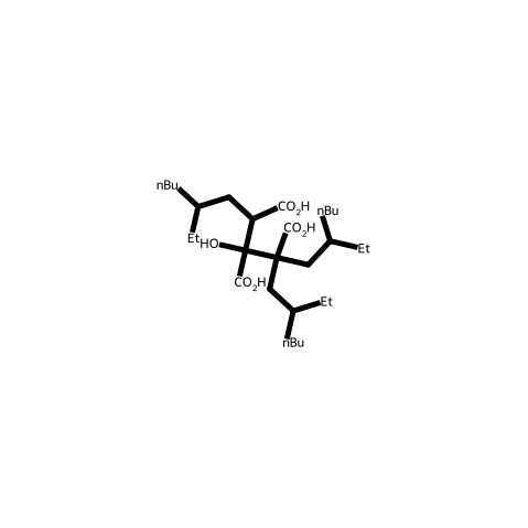 CCCCC(CC)CC(C(=O)O)C(O)(C(=O)O)C(CC(CC)CCCC)(CC(CC)CCCC)C(=O)O